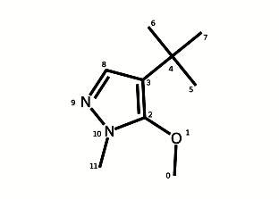 COc1c(C(C)(C)C)cnn1C